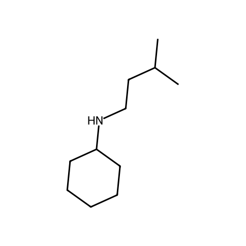 CC(C)CCNC1CCCCC1